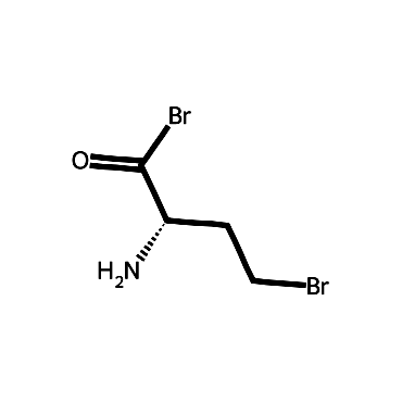 N[C@@H](CCBr)C(=O)Br